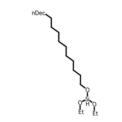 CCCCCCCCCCCCCCCCCCCCO[SiH](OCC)OCC